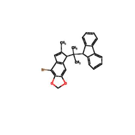 CC1=Cc2c(cc3c(c2Br)OCO3)C1C(C)(C)C1c2ccccc2-c2ccccc21